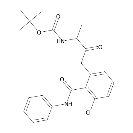 CC(NC(=O)OC(C)(C)C)C(=O)Cc1cccc(Cl)c1C(=O)Nc1ccccc1